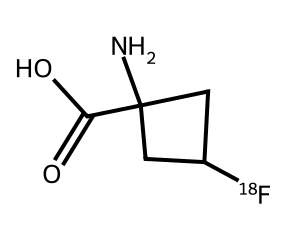 NC1(C(=O)O)CC([18F])C1